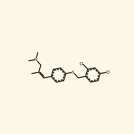 CC(=Cc1ccc(SCc2ccc(Cl)cc2Cl)cc1)CN(C)C